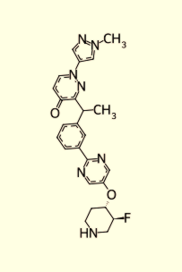 CC(c1cccc(-c2ncc(O[C@H]3CCNC[C@@H]3F)cn2)c1)c1nn(-c2cnn(C)c2)ccc1=O